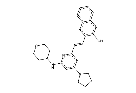 Oc1nc2ccccc2nc1C=Cc1nc(NC2CCOCC2)cc(N2CCCC2)n1